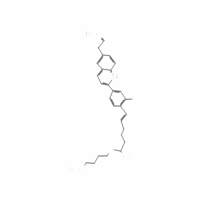 C=CCc1ccc2nc(-c3ccc(C=CCCCC(C)OCCCCC)c(F)c3)ccc2c1